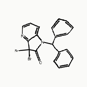 O=C1N(C(c2ccccc2)c2ccccc2)c2cccnc2C1(Br)Br